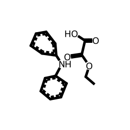 CCOC(=O)C(=O)O.c1ccc(Nc2ccccc2)cc1